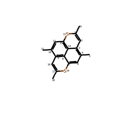 CC1=Cc2c(C)cc3c4c(c(C)cc(c24)S1)C=C(C)S3